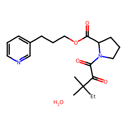 CCC(C)(C)C(=O)C(=O)N1CCCC1C(=O)OCCCc1cccnc1.O